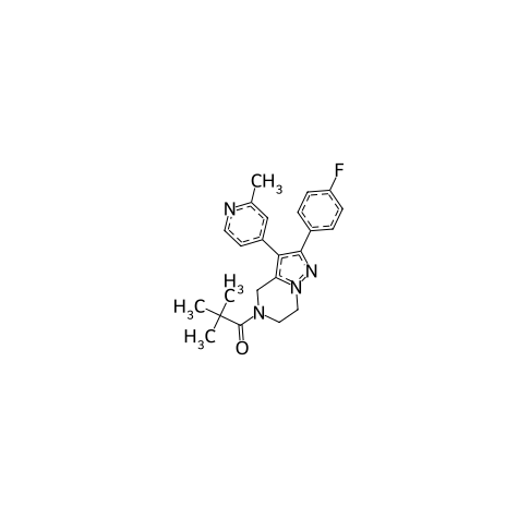 Cc1cc(-c2c(-c3ccc(F)cc3)nn3c2CN(C(=O)C(C)(C)C)CC3)ccn1